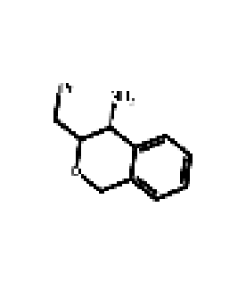 CC(C)CC1OCc2ccccc2[C@@H]1N